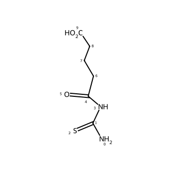 NC(=S)NC(=O)CCCC(=O)O